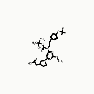 COc1nc(N2CCC(CC(=O)O)C2)cc(N(CCc2ccc(OC(F)(F)F)cc2)C(=O)OC(C)(C)C)n1